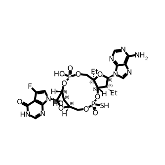 CC[C@H]1[C@H](n2cnc3c(N)ncnc32)O[C@]2(CC)COP(=O)(O)O[C@@H]3[C@H](O)[C@@H](COP(=O)(S)O[C@@H]12)O[C@H]3n1cc(F)c2c(=O)[nH]cnc21